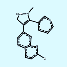 CN1NCC(c2cnc3ccc(Cl)nc3c2)=C1c1cccnc1